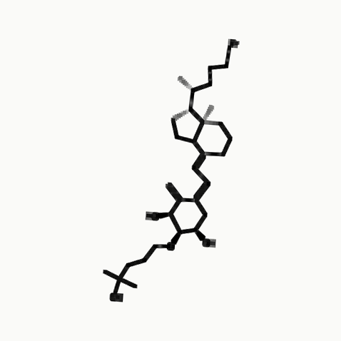 C=C1/C(=C\C=C2CCC[C@@]3(C)C2CC[C@@H]3[C@H](C)CCCC(C)C)C[C@@H](O)[C@@H](OCCCC(C)(C)O)[C@H]1O